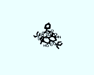 CC[Si](CC)(CC)O[C@H]1C[C@@]2(O)[C@@H](OC(=O)c3ccccc3)C3[C@](C)(C(=O)[C@H](O)C(=C1C)C2(C)C)[C@@H](O[Si](CC)(CC)CC)C[C@H]1OC[C@@]31OC(C)=O